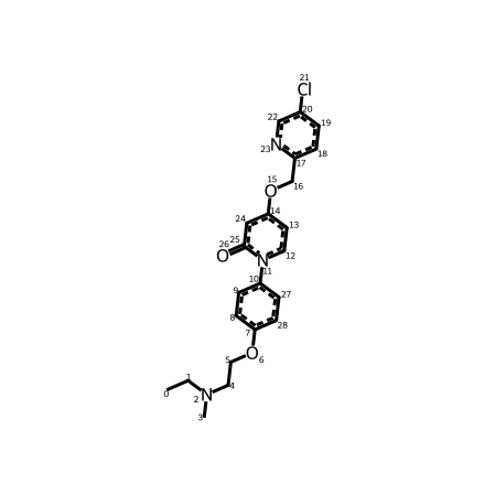 CCN(C)CCOc1ccc(-n2ccc(OCc3ccc(Cl)cn3)cc2=O)cc1